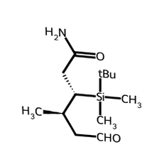 C[C@H](CC=O)[C@H](CC(N)=O)[Si](C)(C)C(C)(C)C